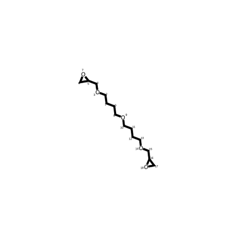 C(CCOCC1CO1)COCCCCOCC1CO1